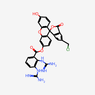 N=C(N)Nc1cccc(C(=O)Oc2ccc3c(c2)Oc2cc(O)ccc2C32OC(=O)c3cc(CCl)ccc32)c1NC(=N)N